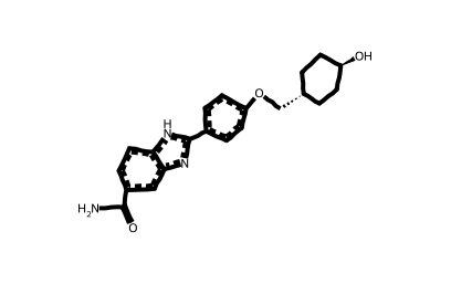 NC(=O)c1ccc2[nH]c(-c3ccc(OC[C@H]4CC[C@H](O)CC4)cc3)nc2c1